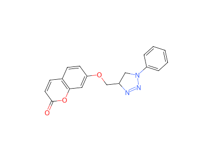 O=c1ccc2ccc(OCC3CN(c4ccccc4)N=N3)cc2o1